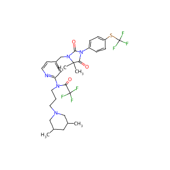 CC1CC(C)CN(CCCN(C(=O)C(F)(F)F)c2cc(CN3C(=O)N(c4ccc(SC(F)(F)F)cc4)C(=O)C3(C)C)ccn2)C1